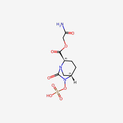 NC(=O)COC(=O)[C@H]1CC[C@H]2CN1C(=O)N2OS(=O)(=O)O